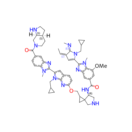 C/C=C1/C=C(c2nc3cc(C(=O)N[C@H]4CNCC45CC5COc4ccc5cc(-c6nc7cc(C(=O)N8CC[C@@H]9CCN[C@@H]9C8)ccc7n6C)n(CC6CC6)c5n4)cc(OC)c3n2C)N(CC2CC2)/C1=N/C